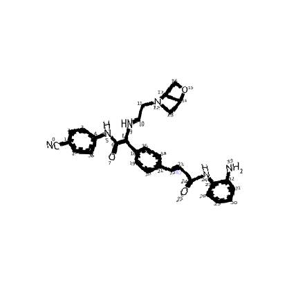 N#Cc1ccc(NC(=O)C(NCCN2CC3OCC32)c2ccc(/C=C/C(=O)Nc3ccccc3N)cc2)cc1